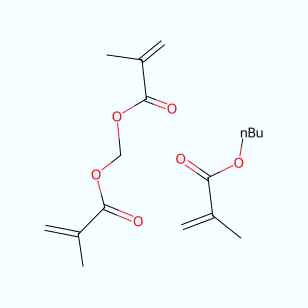 C=C(C)C(=O)OCCCC.C=C(C)C(=O)OCOC(=O)C(=C)C